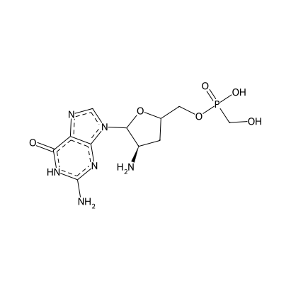 Nc1nc2c(ncn2C2OC(COP(=O)(O)CO)C[C@H]2N)c(=O)[nH]1